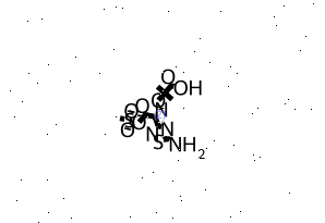 CC(C)(O/N=C(\C(=O)OS(C)(=O)=O)c1nsc(N)n1)C(=O)O